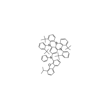 CC(C)c1cccc2c1oc1c(N(c3ccccc3)c3cc4c5c(c3)N(c3ccccc3C(C)(C)C)c3c(cccc3C(C)(C)C)B5c3cccc(C(C)(C)C)c3N4c3ccccc3C(C)(C)C)cccc12